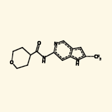 O=C(Nc1cc2[nH]c(C(F)(F)F)cc2cn1)C1CCOCC1